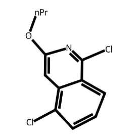 CCCOc1cc2c(Cl)cccc2c(Cl)n1